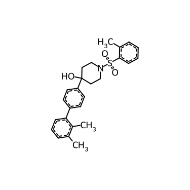 Cc1ccccc1S(=O)(=O)N1CCC(O)(c2ccc(-c3cccc(C)c3C)cc2)CC1